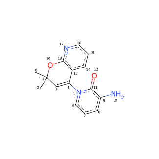 CC1(C)C=C(n2cccc(N)c2=O)c2cccnc2O1